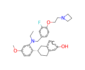 CCN(Cc1ccc(OCCN2CCC2)c(F)c1)c1cc(OC)ccc1[C@H]1CCc2cc(O)ccc2C1